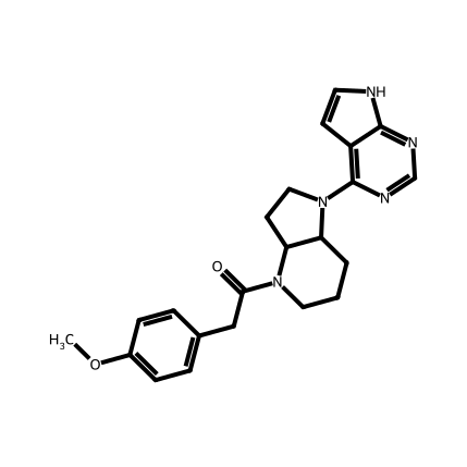 COc1ccc(CC(=O)N2CCCC3C2CCN3c2ncnc3[nH]ccc23)cc1